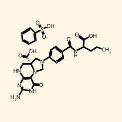 CCCC(NC(=O)c1ccc(N2CN3c4c(nc(N)[nH]c4=O)NC[C@@]3(C(=O)O)C2)cc1)C(=O)O.O=S(=O)(O)c1ccccc1